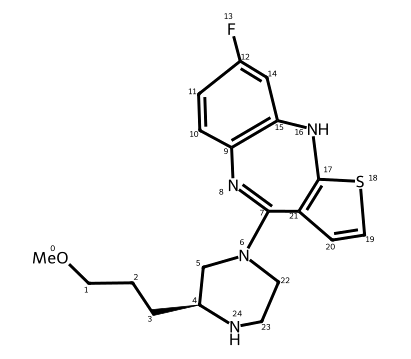 COCCC[C@H]1CN(C2=Nc3ccc(F)cc3Nc3sccc32)CCN1